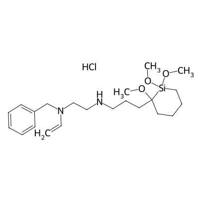 C=CN(CCNCCCC1(OC)CCCC[Si]1(OC)OC)Cc1ccccc1.Cl